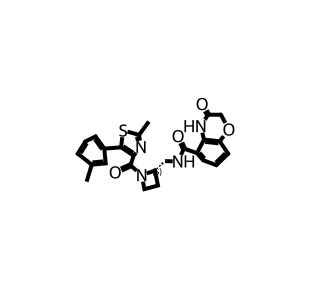 Cc1cccc(-c2sc(C)nc2C(=O)N2CC[C@H]2CNC(=O)c2cccc3c2NC(=O)CO3)c1